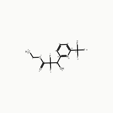 CCOC(=O)C(F)(F)C(O)c1cccc(C(F)(F)F)n1